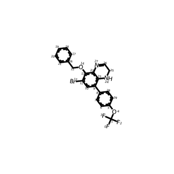 FC(F)(F)Oc1ccc(-c2cc(Br)c(OCc3ccccc3)c3c2NCC=N3)cc1